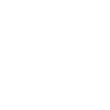 C=CC(=O)OCCOC(=O)C1CCCC1C(=O)O